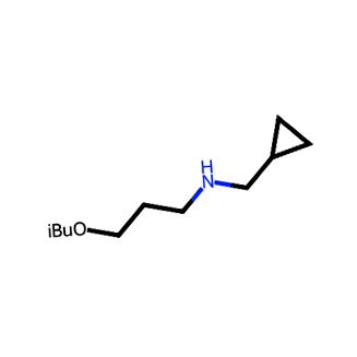 CC(C)COCCCNCC1CC1